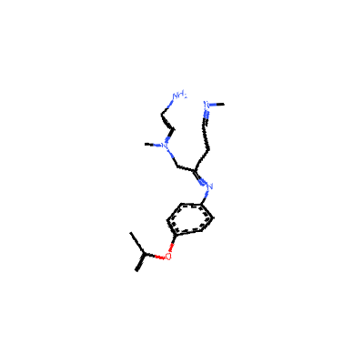 C/N=C\C/C(CN(C)CCN)=N/c1ccc(OC(C)C)cc1